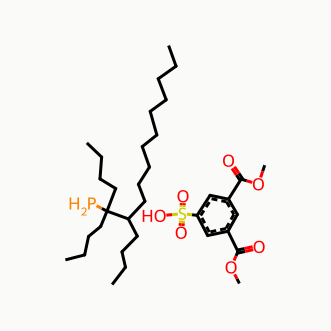 CCCCCCCCCCC(CCCC)C(P)(CCCC)CCCC.COC(=O)c1cc(C(=O)OC)cc(S(=O)(=O)O)c1